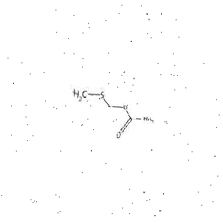 [CH2]SCOC(N)=O